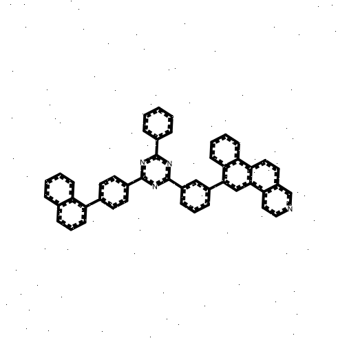 c1ccc(-c2nc(-c3ccc(-c4cccc5ccccc45)cc3)nc(-c3cccc(-c4cc5c6ccncc6ccc5c5ccccc45)c3)n2)cc1